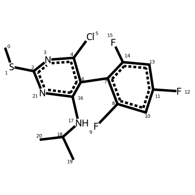 CSc1nc(Cl)c(-c2c(F)cc(F)cc2F)c(NC(C)C)n1